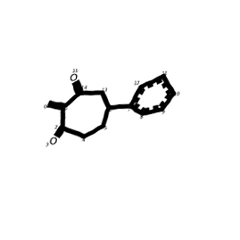 C=C1C(=O)CCC(c2ccccc2)CC1=O